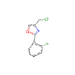 ClCc1coc(-c2ccccc2Br)n1